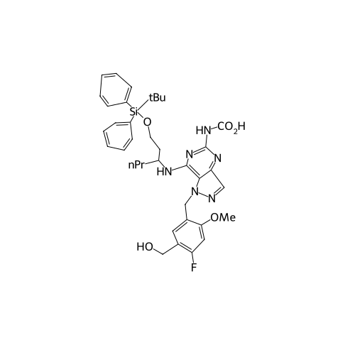 CCCC(CCO[Si](c1ccccc1)(c1ccccc1)C(C)(C)C)Nc1nc(NC(=O)O)nc2cnn(Cc3cc(CO)c(F)cc3OC)c12